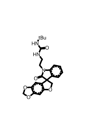 CC(C)(C)NC(=O)NCCN1C(=O)C2(COc3cc4c(cc32)OCO4)c2ccccc21